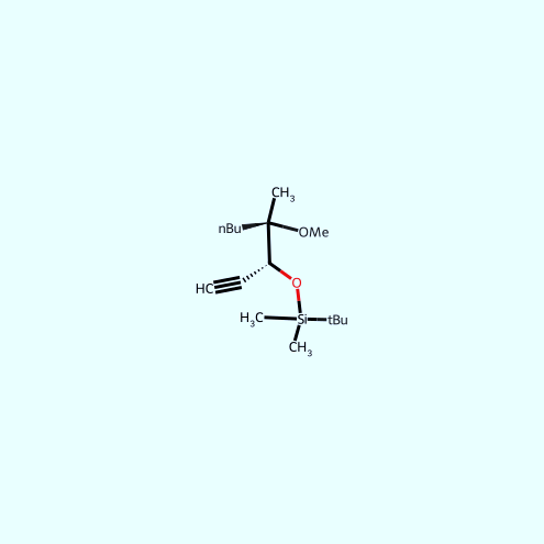 C#C[C@@H](O[Si](C)(C)C(C)(C)C)[C@@](C)(CCCC)OC